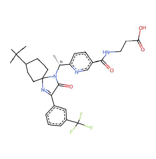 C[C@H](c1ccc(C(=O)NCCC(=O)O)cn1)N1C(=O)C(c2cccc(C(F)(F)F)c2)=NC12CCC(C(C)(C)C)CC2